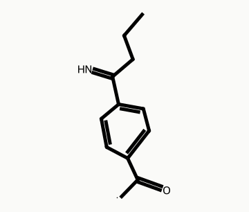 [CH2]C(=O)c1ccc(C(=N)CCC)cc1